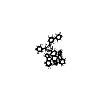 c1ccc(-c2cccc(-c3nc(-c4ccccc4)nc(-c4ccc5c(c4)C4(c6ccccc6-c6ccccc64)c4ccccc4C54c5ccccc5-c5ccccc54)n3)c2)cc1